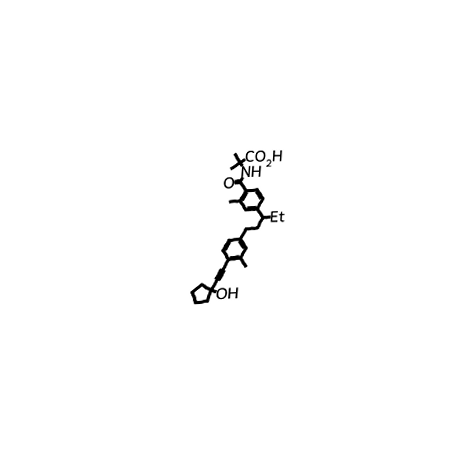 CCC(CCc1ccc(C#CC2(O)CCCC2)c(C)c1)c1ccc(C(=O)NC(C)(C)C(=O)O)c(C)c1